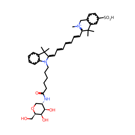 C[N+]1=C(/C=C/C=C/C=C/C=C2/N(CCCCCC(=O)N[C@H]3CO[C@H](CO)[C@H](O)[C@@H]3O)c3ccccc3C2(C)C)C(C)(C)c2cc(S(=O)(=O)O)ccc2C1